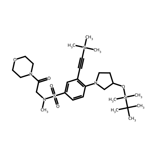 CN(CC(=O)N1CCOCC1)S(=O)(=O)c1ccc(N2CCC(O[Si](C)(C)C(C)(C)C)C2)c(C#C[Si](C)(C)C)c1